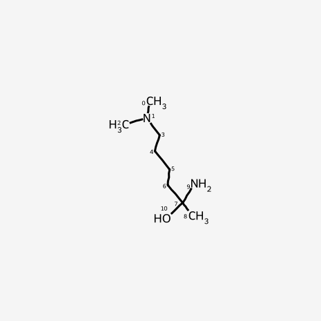 CN(C)CCCCC(C)(N)O